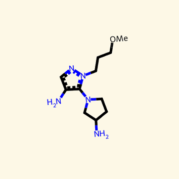 COCCCn1ncc(N)c1N1CCC(N)C1